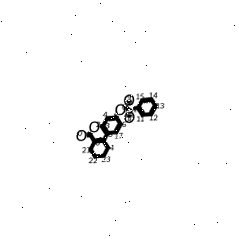 O=c1oc2cc(OS(=O)(=O)c3ccccc3)ccc2c2c1CCCC2